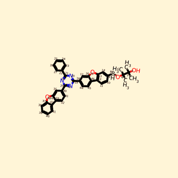 CC(C)(O)C(C)(C)OBc1ccc2c(c1)oc1cc(-c3nc(-c4ccccc4)nc(-c4ccc5c(c4)oc4ccccc45)n3)ccc12